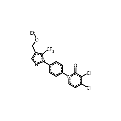 CCOCc1cnn(-c2ccc(-n3ccc(Cl)c(Cl)c3=O)cc2)c1C(F)(F)F